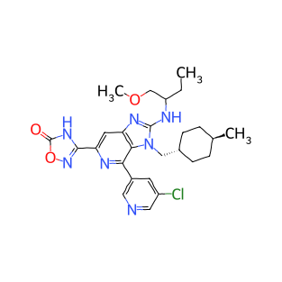 CCC(COC)Nc1nc2cc(-c3noc(=O)[nH]3)nc(-c3cncc(Cl)c3)c2n1C[C@H]1CC[C@H](C)CC1